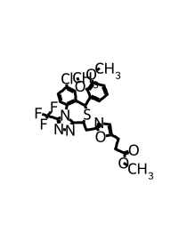 COC(=O)CCc1cnc(CC2SC(c3cccc(OC)c3OC)c3cc(Cl)ccc3-n3c2nnc3C(F)(F)F)o1